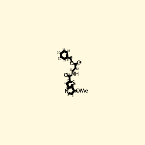 COc1ccnc2cc(C(=O)NCCC(=O)OCc3ccccc3)sc12